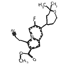 COC(=O)c1cc2cc(C3CCOC(C)(C)C3)c(F)cn2c1CC#N